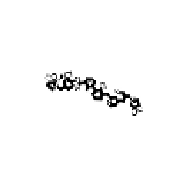 Cc1c(-c2nc3cc(CN4CC[C@H](C(=O)O)C4)cc(Cl)c3o2)cccc1-c1cccc(Cc2nccc3cc(CN4CC[C@@H](O)C4)cnc23)c1Cl